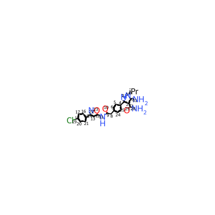 CC(C)n1nc(-c2ccc(CC(=O)Nc3cc(-c4ccc(Cl)cc4)no3)cc2)c(C(N)=O)c1N